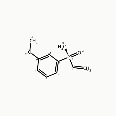 C=C[P@@](C)(=O)c1cccc(OC)c1